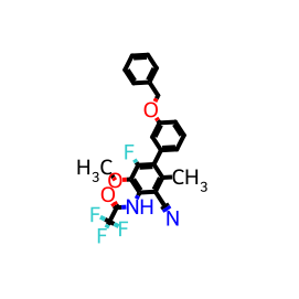 COc1c(F)c(-c2cccc(OCc3ccccc3)c2)c(C)c(C#N)c1NC(=O)C(F)(F)F